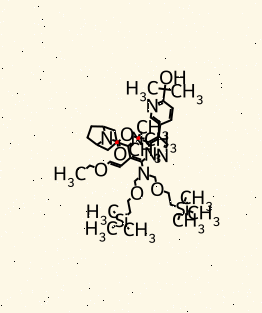 CCO/C=C/c1c(C2CC3CCC(C2)N3C(=O)OC(C)(C)C)nc2c(-c3ccc(C(C)(C)O)nc3)cnn2c1N(COCC[Si](C)(C)C)COCC[Si](C)(C)C